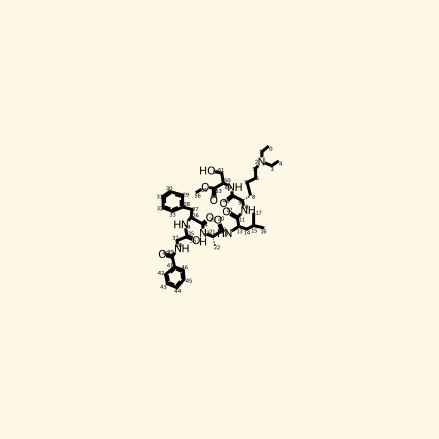 CCN(CC)CCCC[C@H](NC(=O)C(CC(C)C)NC(=O)[C@H](C)NC(=O)C(Cc1ccccc1)NC(=O)CNC(=O)c1ccccc1)C(=O)NC(CO)C(=O)OC